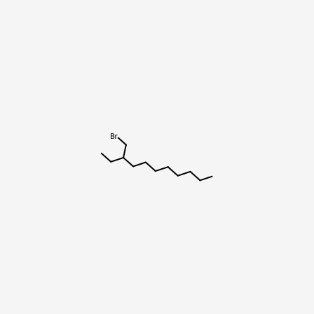 CCCCCCCCC(CC)CBr